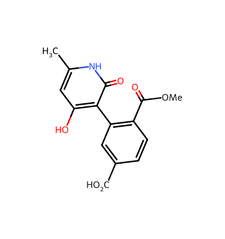 COC(=O)c1ccc(C(=O)O)cc1-c1c(O)cc(C)[nH]c1=O